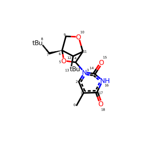 Cc1cn(C2O[C@]3(CC(C)(C)C)COC2C3C(C)(C)C)c(=O)[nH]c1=O